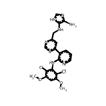 COc1cc(OC)c(Cl)c(Nc2ncccc2-c2cc(CNc3[nH]cnc3N)ncn2)c1Cl